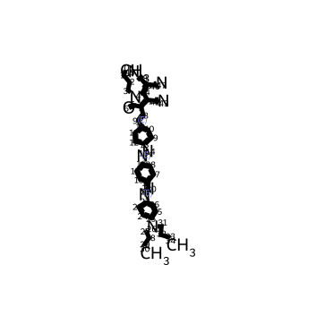 CCCCN1C(=O)C(/C=C/c2ccc(/N=N/c3ccc(/N=N/c4ccc(N(CCCC)CCCC)cc4)cc3)cc2)=C(C#N)C1=C(C#N)C#N